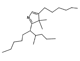 CCCCCCC1=CN=C(C(CCCCC)C(C)CCC)C1(C)C